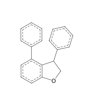 c1ccc(-c2cccc3c2C(c2ccccc2)CO3)cc1